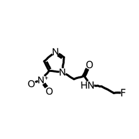 O=C(Cn1cncc1[N+](=O)[O-])NCCF